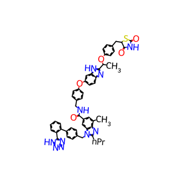 CCCc1nc2c(C)cc(C(=O)NCc3ccc(Oc4ccc5nc(C(C)Oc6ccc(CC7SC(=O)NC7=O)cc6)[nH]c5c4)cc3)cc2n1Cc1ccc(-c2ccccc2-c2nnn[nH]2)cc1